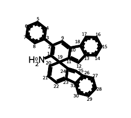 NC1=C(c2ccccc2)C=C2C(=Cc3ccccc32)C12C=CC=C1C2=Cc2ccccc21